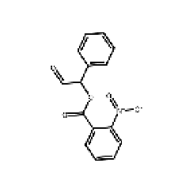 O=[C]C(OC(=O)c1ccccc1[N+](=O)[O-])c1ccccc1